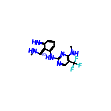 CN/C=C1\C(=N)C=CC=C1Nc1ncc(C(F)(F)F)c(NC)n1